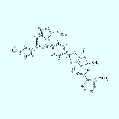 COc1cccnc1C(=O)NC1(C)C[C@H]2CN(c3cnc(-c4cc(-c5cnn(C)c5)cn5ncc(C#N)c45)cn3)C[C@H]2C1